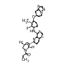 C=CC(=O)N1C[C@H]2C[C@@H]1[C@H](c1ccc3ncnc(Nc4ccc(Oc5ccn6ncnc6c5)c(C)c4F)c3n1)C2